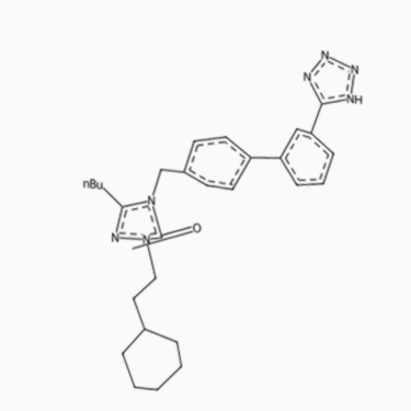 CCCCc1nn(CCC2CCCCC2)c(=O)n1Cc1ccc(-c2cccc(-c3nnn[nH]3)c2)cc1